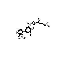 COc1nccc(-c2c[nH]c(=O)c(N(C)C3CN(C(=O)C=CCN(C)C)C3)c2)n1